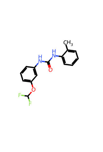 Cc1ccccc1NC(=O)Nc1cccc(OC(F)F)c1